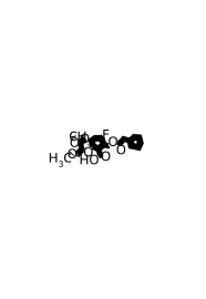 COC=C(Oc1ccc(F)c(COC(=O)Cc2ccccc2)c1C(=O)O)C(=O)OC